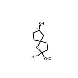 CC1(C=O)COC2(CC[C@@H](O)C2)O1